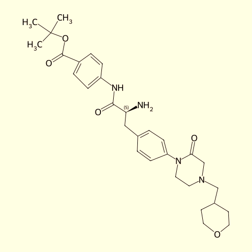 CC(C)(C)OC(=O)c1ccc(NC(=O)[C@@H](N)Cc2ccc(N3CCN(CC4CCOCC4)CC3=O)cc2)cc1